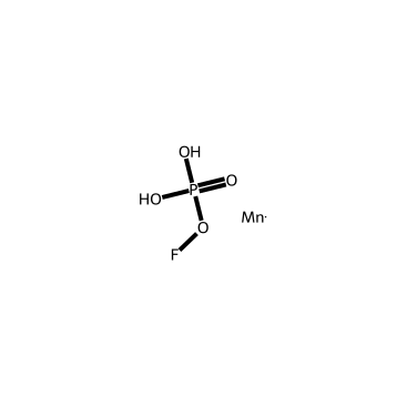 O=P(O)(O)OF.[Mn]